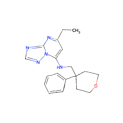 CCc1cc(NCC2(c3ccccc3)CCOCC2)n2ncnc2n1